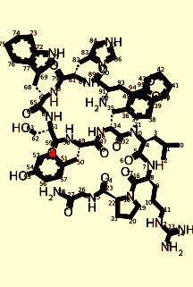 CC(C)C[C@@H](C(=O)N[C@@H](CCCNC(=N)N)C(=O)N1CCC[C@H]1C(=O)NCC(N)=O)N(C)C(=O)[C@@H](Cc1ccc2ccccc2c1)NC(=O)[C@H](Cc1ccc(O)cc1)NC(=O)[C@H](CO)NC(=O)[C@H](Cc1c[nH]c2ccccc12)NC(=O)[C@H](Cc1c[nH]cn1)NC(=O)[C@@H](N)CCC(=O)O